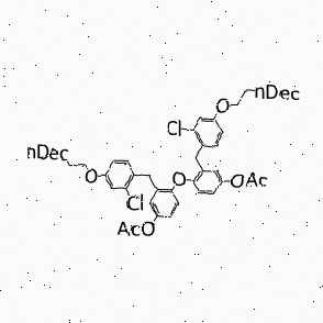 CCCCCCCCCCCCOc1ccc(Cc2cc(OC(C)=O)ccc2Oc2ccc(OC(C)=O)cc2Cc2ccc(OCCCCCCCCCCCC)cc2Cl)c(Cl)c1